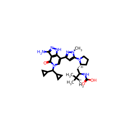 Cn1nc(-c2cn(C(C3CC3)C3CC3)c(=O)c3c(N)n[nH]c23)cc1N1CCC[C@@H]1CC(NC(=O)O)C(C)(C)C